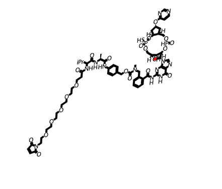 CC(C)C(NC(=O)CCOCCOCCOCCOCCOCCN1C(=O)C=CC1=O)C(=O)N[C@@H](C)C(=O)Nc1ccc(COC(=O)N(C)Cc2ccccc2C(=O)Nc2nc3c(ncn3[C@@H]3O[C@@H]4CO[P@@](=O)(S)O[C@H]5C[C@H](Oc6ccncn6)C[C@@H]5CO[PH](=O)O[C@@H]3[C@@H]4O)c(=O)[nH]2)cc1